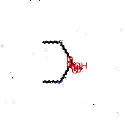 CCCCCCCC/C=C\CCCCCCCCOC[C@H](COP(=O)(O)OCC)OCCCCCCCC/C=C\CCCCCCCC